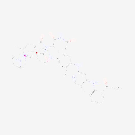 CNC(=O)c1ccccc1Nc1cc(Nc2ccc(N3CCC(CN4CC5CC(C4)N5c4cc5c(cc4F)C(=O)N(C4CCC(=O)NC4=O)C5=O)CC3)cc2OC)ncc1C(F)(F)F